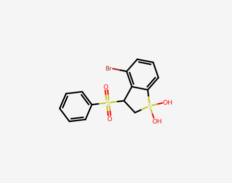 O=S(=O)(c1ccccc1)C1CS(O)(O)c2cccc(Br)c21